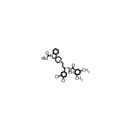 Cc1cc(C)cc(C(=O)N(C)C[C@@H](CCN2CCC3(CC2)CN(C(=O)C(C)(C)C)c2ccccc23)c2ccc(Cl)c(Cl)c2)c1